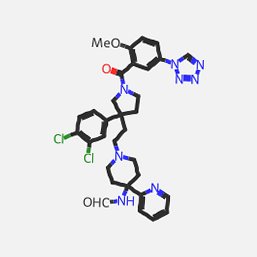 COc1ccc(-n2cnnn2)cc1C(=O)N1CCC(CCN2CCC(NC=O)(c3ccccn3)CC2)(c2ccc(Cl)c(Cl)c2)C1